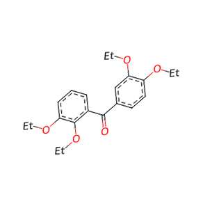 CCOc1ccc(C(=O)c2cccc(OCC)c2OCC)cc1OCC